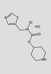 CCN(Cc1cncs1)C(=O)OC1CCNCC1.Cl